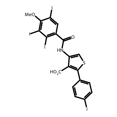 COc1c(I)cc(C(=O)Nc2csc(-c3ccc(I)cc3)c2C(=O)O)c(I)c1I